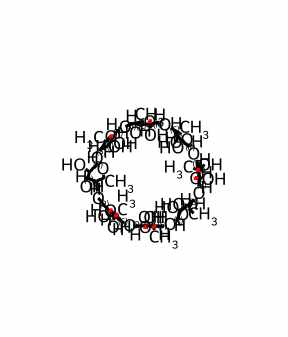 CC1O[C@@H]2O[C@@H]3C(C)O[C@H](O[C@@H]4C(C)O[C@H](O[C@@H]5C(C)O[C@H](O[C@@H]6C(C)O[C@H](O[C@@H]7C(C)O[C@H](O[C@@H]8C(C)O[C@H](O[C@@H]9C(C)O[C@H](O[C@H]1[C@H](O)C2O)C(O)[C@H]9O)C(O)[C@H]8O)C(O)[C@H]7O)C(O)[C@H]6O)C(O)[C@H]5O)C(O)[C@H]4O)C(O)[C@H]3O